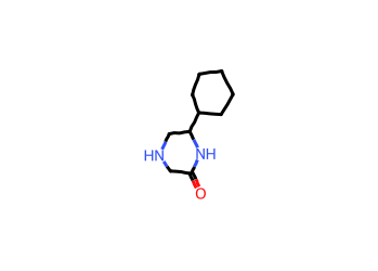 O=C1CNCC(C2CCCCC2)N1